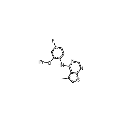 Cc1csc2ncnc(Nc3ccc(F)cc3OC(C)C)c12